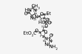 CCOC(=O)O[C@@H]1C[C@H](n2cnc(N)nc2=O)O[C@@H]1COP(=O)(O)O[C@@H]1C[C@H](n2cnc3c(=O)[nH]c(C)nc32)O[C@@H]1CC